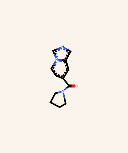 O=C(c1ccn2cncc2c1)N1CCCC1